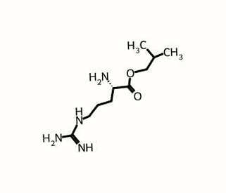 CC(C)COC(=O)[C@@H](N)CCCNC(=N)N